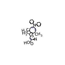 CC1/C=C\C(N(C2=CCCC=C2)C2=CC=CCC2)=C/CC(C)(C)C2=C1SC(/C=C(\C#N)C(=O)O)C2